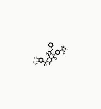 Cc1nnc(-c2ccc(N3C(=O)C4C[C@@H](C)N(C(=O)c5ccc(Cl)c(C(F)(F)F)c5)CC4n4ncc(Cc5ccccc5)c43)cc2)[nH]1